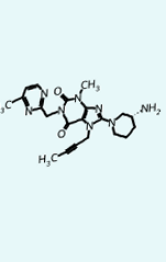 CC#CCn1c(N2CCC[C@@H](N)C2)nc2c1c(=O)n(Cc1nccc(C)n1)c(=O)n2C